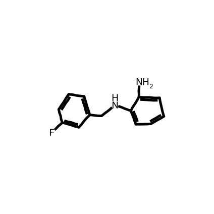 Nc1ccccc1NCc1cccc(F)c1